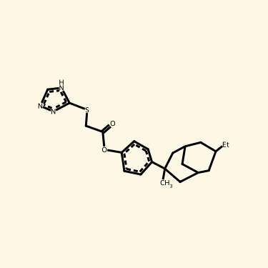 CCC1CC2CC(C1)CC(C)(c1ccc(OC(=O)CSc3nnc[nH]3)cc1)C2